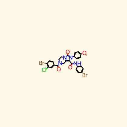 COc1ccc(-n2c(C(=O)Nc3ccc(Br)cc3)c3n(c2=O)CCN(C(=O)c2ccc(Br)c(Cl)c2)C3)cc1